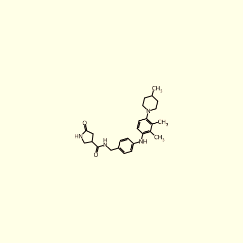 Cc1c(Nc2ccc(CNC(=O)C3CNC(=O)C3)cc2)ccc(N2CCC(C)CC2)c1C